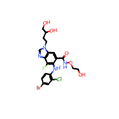 O=C(NOCCO)c1cc2c(ncn2CCC(O)CO)c(F)c1Nc1ccc(Br)cc1Cl